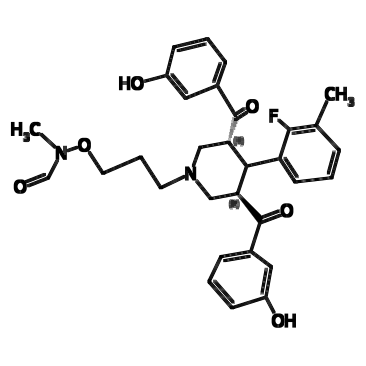 Cc1cccc(C2[C@@H](C(=O)c3cccc(O)c3)CN(CCCON(C)C=O)C[C@@H]2C(=O)c2cccc(O)c2)c1F